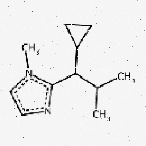 CC(C)C(c1nccn1C)C1CC1